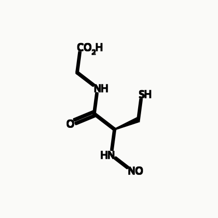 O=NN[C@H](CS)C(=O)NCC(=O)O